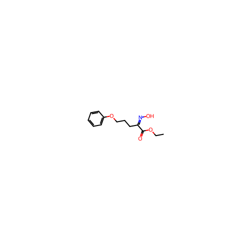 CCOC(=O)C(CCCOc1ccccc1)=NO